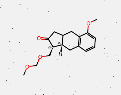 COCOC[C@H]1C(=O)CC2Cc3c(cccc3OC)C[C@@H]21